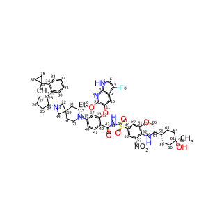 CCOc1nc2[nH]cc(F)c2cc1Oc1cc(N2CCC3(CC2)CN([C@@H]2CCC[C@@H]2c2ccccc2C2(C)CC2)C3)ccc1C(=O)NS(=O)(=O)c1cc2c(c([N+](=O)[O-])c1)N[C@@H]([C@H]1CC[C@](C)(O)CC1)CO2